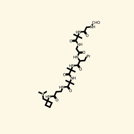 CC(C)CC(NC(=O)CNC(=O)C(C)(C)NC(=O)CNC=O)C(=O)NC(C)(C)C(=O)NC(C)(C)C(=O)NCCC(=O)NC1(CN(C)C)CCC1